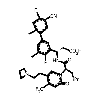 Cc1cc(F)c(C#N)cc1-c1cc(C)c(F)c([C@H](CC(=O)O)NC(=O)C(CC(C)C)n2cc(CCN3CCC3)c(C(F)(F)F)cc2=O)c1